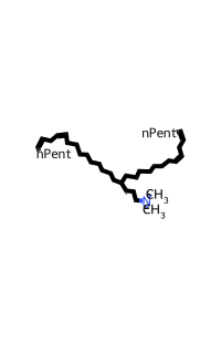 CCCCC/C=C\C/C=C\CCCCCCCCCC([CH]CCN(C)C)CCCCCCC/C=C\C/C=C\CCCCC